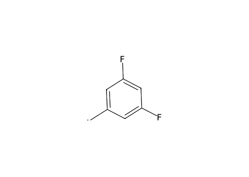 [CH2]c1cc(F)cc(F)c1